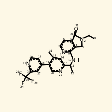 CCN1Cc2c(ccnc2NC(C)c2cc(C)c(-c3ccnc(C(F)(F)F)c3)cn2)C1=O